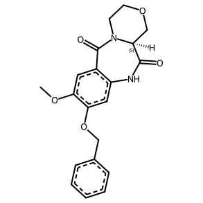 COc1cc2c(cc1OCc1ccccc1)NC(=O)[C@@H]1COCCN1C2=O